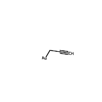 C#C[CH2][Au]